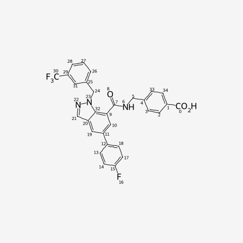 O=C(O)c1ccc(CNC(=O)c2cc(-c3ccc(F)cc3)cc3cnn(Cc4cccc(C(F)(F)F)c4)c23)cc1